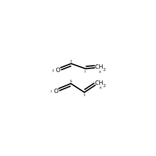 C=CC=O.C=CC=O